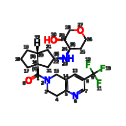 O=C(N1CCc2ncc(C(F)(F)F)cc2C1)[C@@]12CCC[C@@H]1C[C@@H](N[C@@H]1CCOC[C@@H]1O)C2